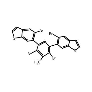 Cc1c(Br)c(-c2cc3sccc3cc2Br)cc(-c2cc3sccc3cc2Br)c1Br